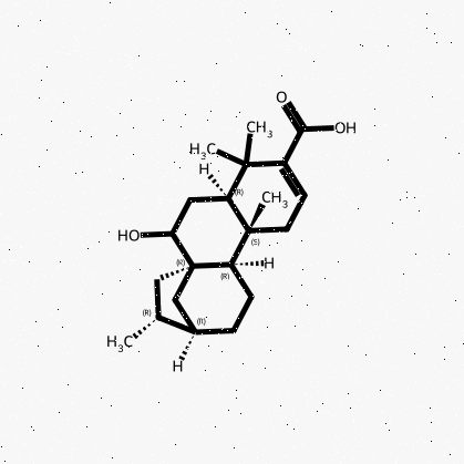 C[C@@H]1C[C@@]23C[C@H]1CC[C@@H]2[C@@]1(C)CC=C(C(=O)O)C(C)(C)[C@@H]1CC3O